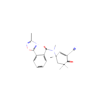 Cc1noc(-c2ccccc2C(=O)N(C)[C@]2(C)C=C(C#N)C(=O)C(C)(C)C2)n1